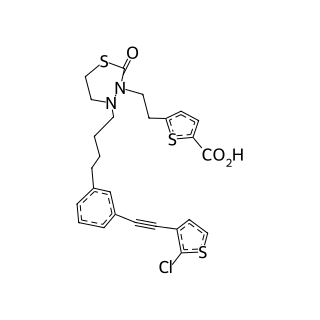 O=C(O)c1ccc(CCN2C(=O)SCCN2CCCCc2cccc(C#Cc3ccsc3Cl)c2)s1